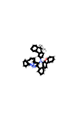 CC1(C)c2ccccc2-c2cc(N(c3cccc4c3oc3ccccc34)c3c(-c4ccccc4)nn4c3ccc3ccccc34)ccc21